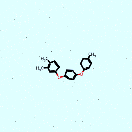 CC1=CC=C(Oc2ccc(Oc3ccc(C)c(C)c3)cc2)CC1